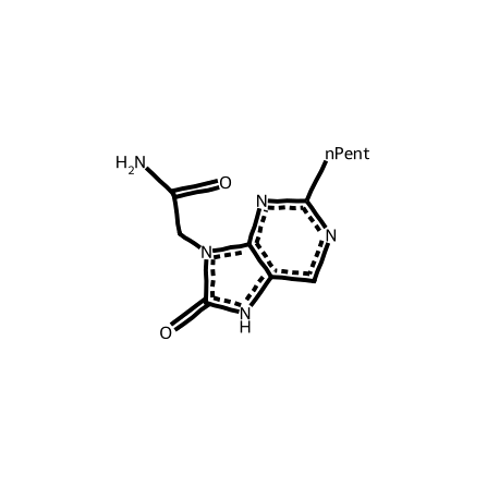 CCCCCc1ncc2[nH]c(=O)n(CC(N)=O)c2n1